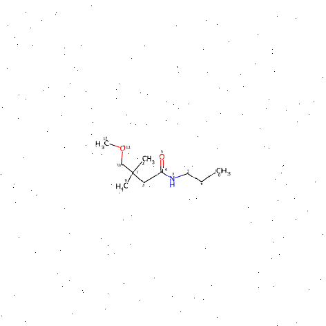 CCCNC(=O)CC(C)(C)COC